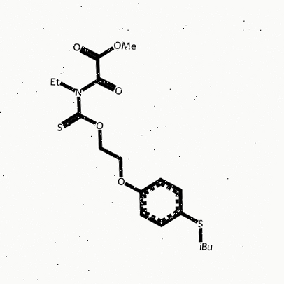 CCC(C)Sc1ccc(OCCOC(=S)N(CC)C(=O)C(=O)OC)cc1